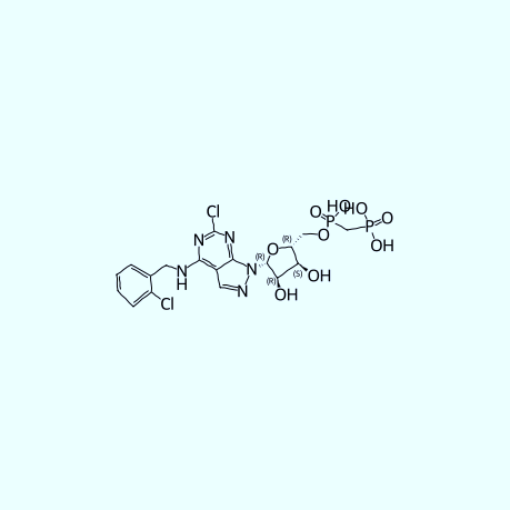 O=P(O)(O)CP(=O)(O)OC[C@H]1O[C@@H](n2ncc3c(NCc4ccccc4Cl)nc(Cl)nc32)[C@H](O)[C@@H]1O